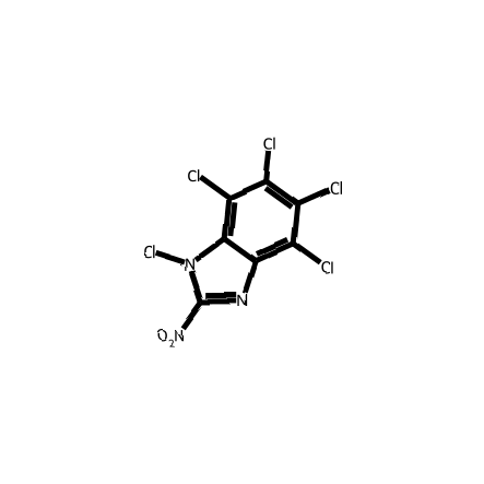 O=[N+]([O-])c1nc2c(Cl)c(Cl)c(Cl)c(Cl)c2n1Cl